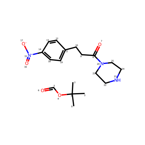 CC(C)(C)OC=O.O=C(CCc1ccc([N+](=O)[O-])cc1)N1CCNCC1